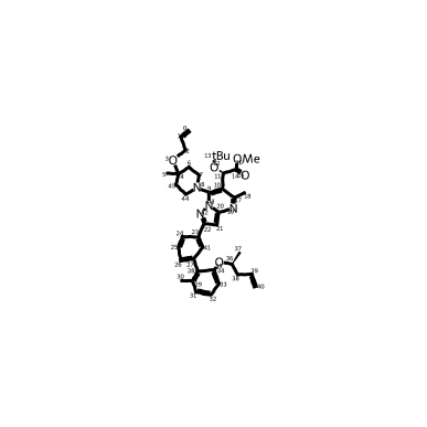 C=CCOC1(C)CCN(c2c([C@H](OC(C)(C)C)C(=O)OC)c(C)nc3cc(-c4cccc(-c5c(C)cccc5O[C@@H](C)CC=C)c4)nn23)CC1